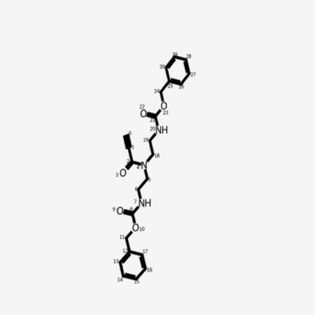 C#CC(=O)N(CCNC(=O)OCc1ccccc1)CCNC(=O)OCc1ccccc1